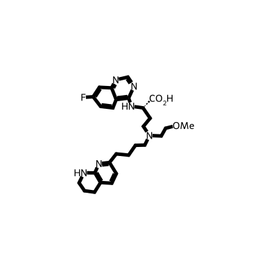 COCCN(CCCCc1ccc2c(n1)NCCC2)CC[C@H](Nc1ncnc2cc(F)ccc12)C(=O)O